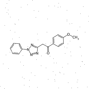 COc1ccc(C(=O)Cc2nnn(-c3ccccc3)n2)cc1